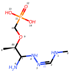 CN/C=N\NC(N)[C@@H](C)OCP(=O)(O)O